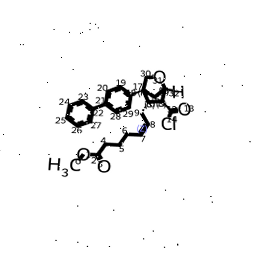 COC(=O)CCC/C=C\C[C@H]1[C@H](C(=O)Cl)[C@@H]2C[C@@]1(c1ccc(-c3ccccc3)cc1)CO2